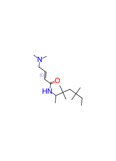 CCC(C)(C)CC(C)(C)C(C)NC(=O)/C=C/CN(C)C